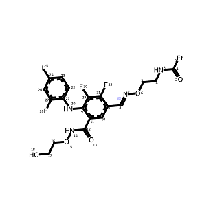 CCC(=O)NCCO/N=C/c1cc(C(=O)NOCCO)c(Nc2ccc(I)cc2F)c(F)c1F